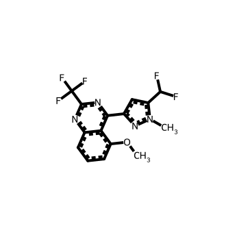 COc1cccc2nc(C(F)(F)F)nc(-c3cc(C(F)F)n(C)n3)c12